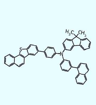 CC1(C)c2ccccc2-c2cc(N(c3ccc(-c4ccc5sc6c7ccccc7ccc6c5c4)cc3)c3cccc(-c4cccc5ccccc45)c3)ccc21